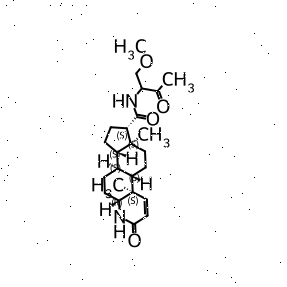 COCC(NC(=O)[C@H]1CC[C@H]2[C@@H]3CC[C@H]4NC(=O)C=C[C@]4(C)[C@H]3CC[C@]12C)C(C)=O